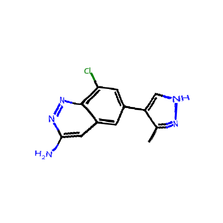 Cc1n[nH]cc1-c1cc(Cl)c2nnc(N)cc2c1